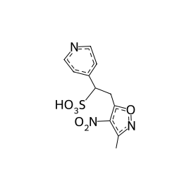 Cc1noc(CC(c2ccncc2)S(=O)(=O)O)c1[N+](=O)[O-]